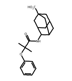 CC(C)(Oc1ccccc1)C(=O)NC1C2CC3CC1CC(C(=O)O)(C3)C2